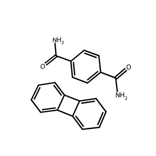 NC(=O)c1ccc(C(N)=O)cc1.c1ccc2c(c1)-c1ccccc1-2